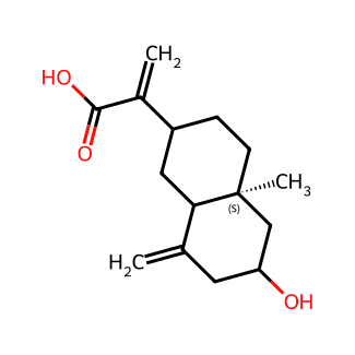 C=C(C(=O)O)C1CC[C@@]2(C)CC(O)CC(=C)C2C1